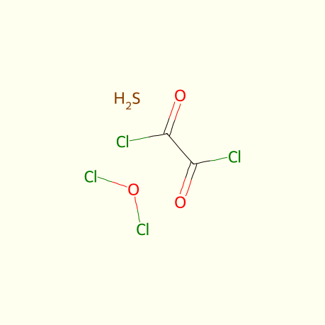 ClOCl.O=C(Cl)C(=O)Cl.S